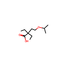 CCC(CC)(CCOC(C)C)C(=O)O